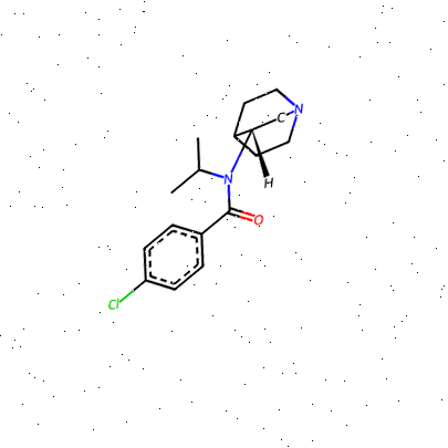 CC(C)N(C(=O)c1ccc(Cl)cc1)[C@H]1CN2CCC1CC2